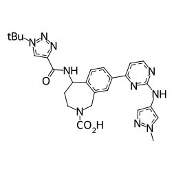 Cn1cc(Nc2nccc(-c3ccc4c(c3)CN(C(=O)O)CCC4NC(=O)c3cn(C(C)(C)C)nn3)n2)cn1